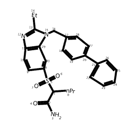 CCCC(C(N)=O)S(=O)(=O)c1ccc2nc(CC)n(Cc3ccc(-c4ccccc4)cc3)c2c1